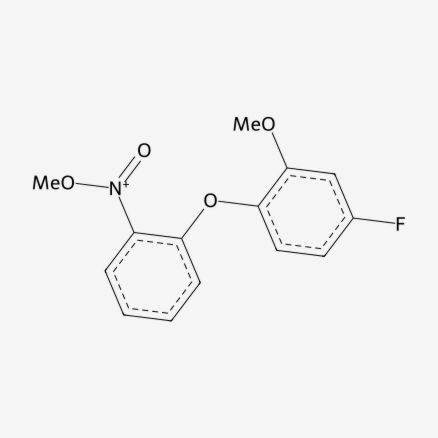 COc1cc(F)ccc1Oc1ccccc1[N+](=O)OC